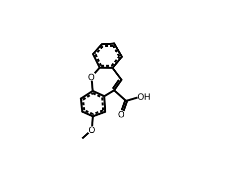 COc1ccc2c(c1)C(C(=O)O)=Cc1ccccc1O2